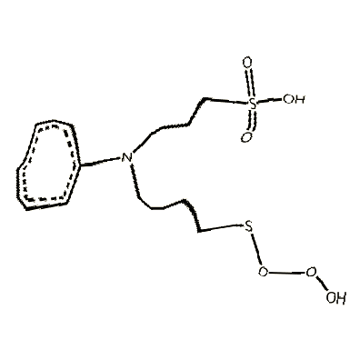 O=S(=O)(O)CCCN(CCCSOOO)c1ccccc1